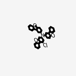 Clc1cc(N(c2ccc3oc4ccccc4c3c2)c2ccc3oc4ccccc4c3c2)cc2oc3ccccc3c12